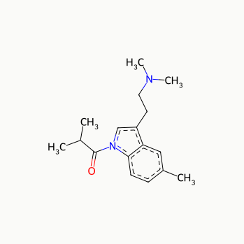 Cc1ccc2c(c1)c(CCN(C)C)cn2C(=O)C(C)C